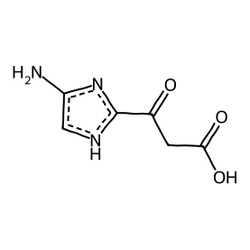 Nc1c[nH]c(C(=O)CC(=O)O)n1